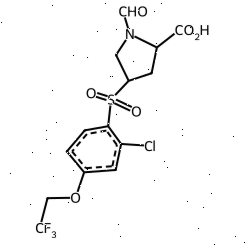 O=CN1CC(S(=O)(=O)c2ccc(OCC(F)(F)F)cc2Cl)CC1C(=O)O